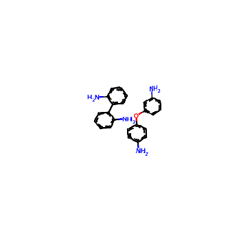 Nc1ccc(Oc2cccc(N)c2)cc1.Nc1ccccc1-c1ccccc1N